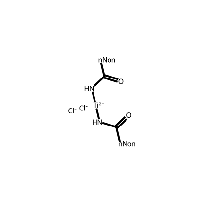 CCCCCCCCCC(=O)[NH][Ti+2][NH]C(=O)CCCCCCCCC.[Cl-].[Cl-]